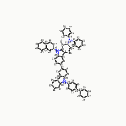 CC1c2c(c3cc(-c4ccc5c(c4)c4ccccc4n5-c4ccc(-c5ccccc5)cc4)ccc3n2-c2ccc3ccccc3c2)C=C2c3ccccc3N(c3ccccc3)C21